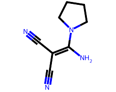 N#CC(C#N)=C(N)N1CCCC1